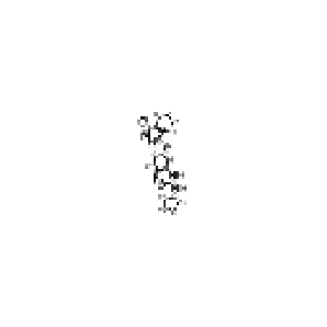 O=C(Nc1cc(Cc2n[nH]c(=O)c3c2CCCC3)ccc1F)NC1CCCC1